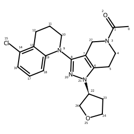 CC(=O)N1CCc2c(c(N3CCCc4c(Cl)cccc43)nn2[C@H]2CCOC2)C1